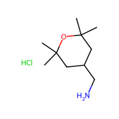 CC1(C)CC(CN)CC(C)(C)O1.Cl